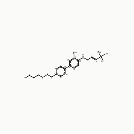 CCCCCCCc1ccc(-c2ccc(OCC=CC(F)(F)F)c(F)c2)cc1